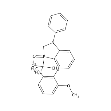 COc1cccc(C)c1-c1cccc2c1P(=O)(C(C)(C)C)CN2c1ccccc1